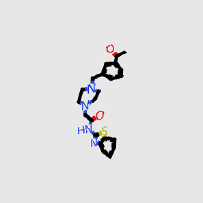 CC(=O)c1cccc(CN2CCN(CC(=O)Nc3nc4ccccc4s3)CC2)c1